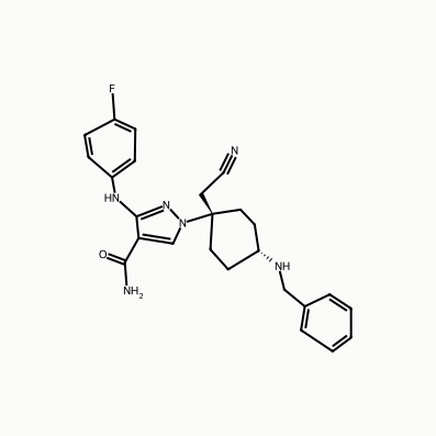 N#CC[C@]1(n2cc(C(N)=O)c(Nc3ccc(F)cc3)n2)CC[C@@H](NCc2ccccc2)CC1